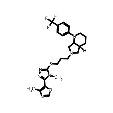 Cc1ncoc1-c1nnc(SCCCN2CC3[C@H](CCCN3c3ccc(C(F)(F)F)cc3)C2)n1C